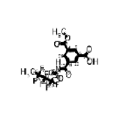 COC(=O)c1cc(C(=O)O)cc(C(=O)NS(=O)(=O)C(F)(F)C(F)(F)C(C)(F)F)c1